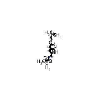 CN(C)CCOc1cnc2[nH]c(/C=C/C(=O)C(C)(C)C)cc2c1